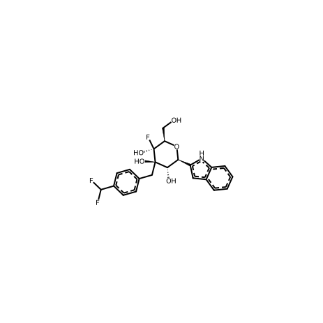 OC[C@H]1O[C@@H](c2cc3ccccc3[nH]2)[C@H](O)[C@](O)(Cc2ccc(C(F)F)cc2)[C@@]1(O)F